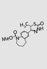 COC(=O)N1CCCCc2cc(C3=NNC(=O)SC3C)ccc21